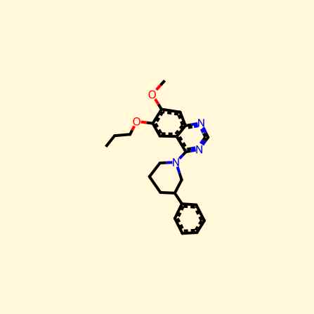 CCCOc1cc2c(N3CCCC(c4ccccc4)C3)ncnc2cc1OC